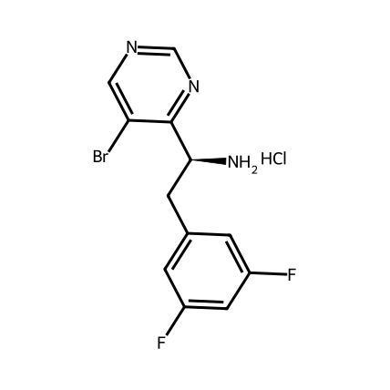 Cl.N[C@@H](Cc1cc(F)cc(F)c1)c1ncncc1Br